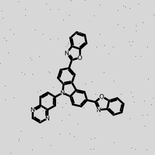 c1ccc2oc(-c3ccc4c(c3)c3cc(-c5nc6ccccc6o5)ccc3n4-c3ccc4nccnc4c3)nc2c1